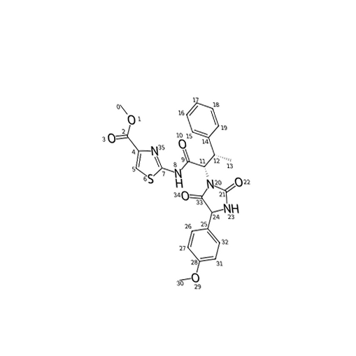 COC(=O)c1csc(NC(=O)[C@H]([C@@H](C)c2ccccc2)N2C(=O)NC(c3ccc(OC)cc3)C2=O)n1